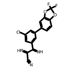 N#CC(=N)C(=N)c1cc(Cl)cc(-c2ccc3c(c2)OC(F)(F)O3)c1